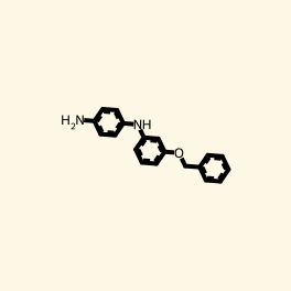 Nc1ccc(Nc2cccc(OCc3ccccc3)c2)cc1